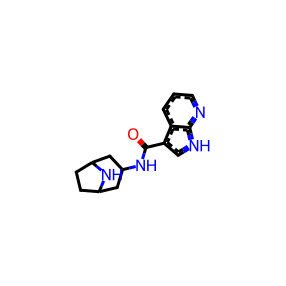 O=C(NC1CC2CCC(C1)N2)c1c[nH]c2ncccc12